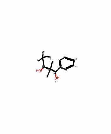 CC(C)(C)C(O)C(C)(C)C(O)c1ccccc1